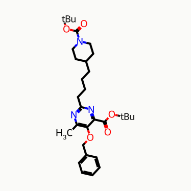 Cc1nc(CCCCC2CCN(C(=O)OC(C)(C)C)CC2)nc(C(=O)OC(C)(C)C)c1OCc1ccccc1